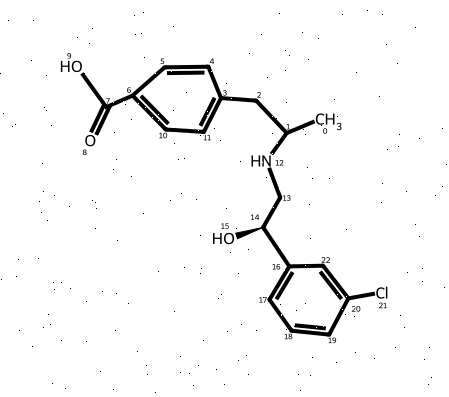 CC(Cc1ccc(C(=O)O)cc1)NC[C@H](O)c1cccc(Cl)c1